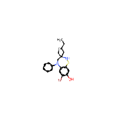 CCCCC1(CC)CN(c2ccccc2)c2cc(Br)c(O)cc2SN1